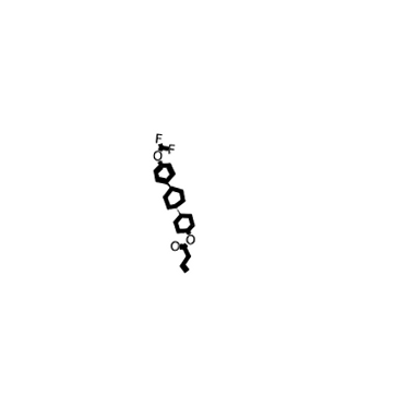 C=CCC(=O)OC1CCC([C@H]2CC[C@H](c3ccc(OC(F)F)cc3)CC2)CC1